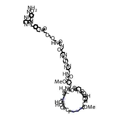 CO[C@H]1C[C@@H]2CC[C@@H](C)[C@@](O)(O2)C(=O)C(=O)N2CCCC[C@H]2C(=O)O[C@H]([C@H](N)C[C@@H]2CC[C@@H](OC(=O)NCc3cnc(N4CCN(c5ncc(C(=O)CN(C)CC(=O)NCCOCCOCCC(=O)N6CCc7cc(Cn8nc(-c9ccc%10oc(N)nc%10c9)c9c(N)ccnc98)ccc7C6)cn5)CC4)nc3)[C@H](OC)C2)CC(=O)[C@H](C)/C=C(\C)[C@@H](O)[C@@H](O)C(=O)[C@H](C)C[C@H](C)/C=C/C=C/C=C/1C